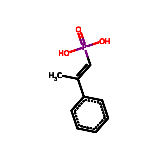 C/C(=C\P(=O)(O)O)c1ccccc1